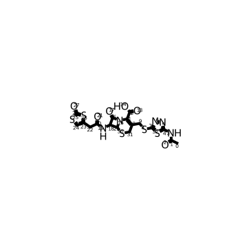 CC(=O)Nc1nnc(SCC2=C(C(=O)O)N3C(=O)C(NC(=O)Cc4csc(=O)s4)C3SC2)s1